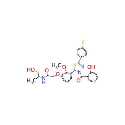 COc1c(OCC(=O)N[C@@H](C)CO)cccc1[C@H]1SC(c2ccc(F)cc2)=NN1C(=O)c1ccccc1O